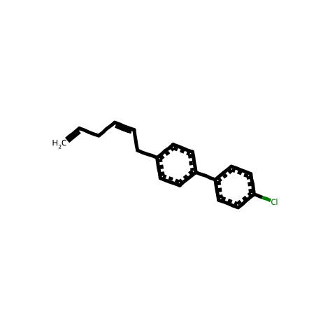 C=CC/C=C\Cc1ccc(-c2ccc(Cl)cc2)cc1